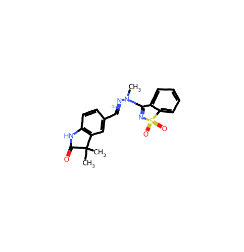 CN(/N=C/c1ccc2c(c1)C(C)(C)C(=O)N2)C1=NS(=O)(=O)c2ccccc21